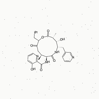 CC(C)CC1OC(=O)[C@H](C)[C@H](O)[C@H](Cc2cccnc2)NC(=O)[C@@H](NC(=O)c2ncccc2O)[C@@H](C)CC1=O